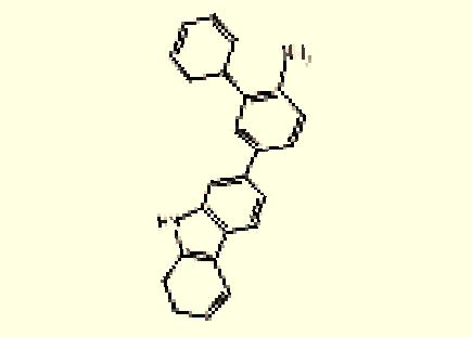 Nc1ccc(-c2ccc3c4c([nH]c3c2)CCC=C4)cc1C1C=CC=CC1